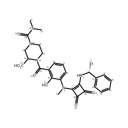 CC[C@@H](Nc1c(N(C)c2cccc(C(=O)N3CCN(C(=O)N(C)C)CC3C(=O)O)c2O)c(=O)c1=O)c1ccccc1